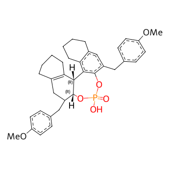 COc1ccc(Cc2cc3c(c4c2OP(=O)(O)O[C@@H]2C(Cc5ccc(OC)cc5)CC5=C(CCCC5)[C@H]42)CCCC3)cc1